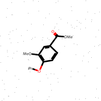 COC(=O)c1ccc(OC(C)C)c(OC)c1